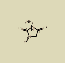 CN1CC(=O)NC1=O.N